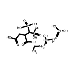 CCN.O=C(O)CC(C(=O)O)C(P(=O)(O)O)P(=O)(O)O.O=[PH](O)O.O=[PH](O)O